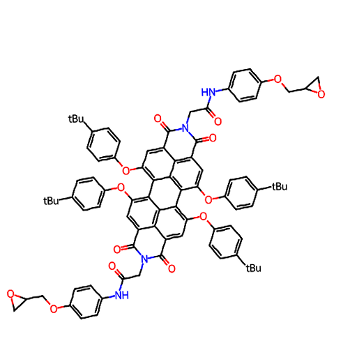 CC(C)(C)c1ccc(Oc2cc3c4c(cc(Oc5ccc(C(C)(C)C)cc5)c5c6c(Oc7ccc(C(C)(C)C)cc7)cc7c8c(cc(Oc9ccc(C(C)(C)C)cc9)c(c2c45)c86)C(=O)N(CC(=O)Nc2ccc(OCC4CO4)cc2)C7=O)C(=O)N(CC(=O)Nc2ccc(OCC4CO4)cc2)C3=O)cc1